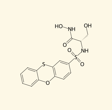 O=C(NO)[C@H](CO)NS(=O)(=O)c1ccc2c(c1)Sc1ccccc1O2